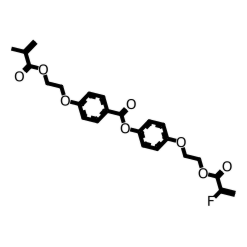 C=C(C)C(=O)OCCOc1ccc(C(=O)Oc2ccc(OCCOC(=O)C(=C)F)cc2)cc1